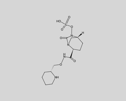 O=C(NOC[C@H]1CCCCN1)[C@@H]1CC[C@@H]2CN1C(=O)N2OS(=O)(=O)O